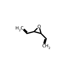 C=CC1OC1C=C